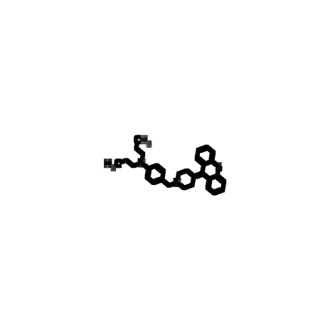 CCCN(CCC)c1ccc(CN2CCC(=C3c4ccccc4Sc4ccccc43)CC2)cc1